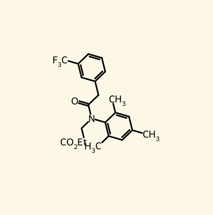 CCOC(=O)CN(C(=O)Cc1cccc(C(F)(F)F)c1)c1c(C)cc(C)cc1C